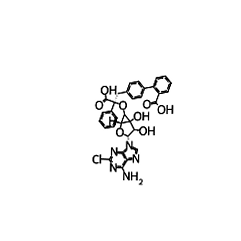 Nc1nc(Cl)nc2c1ncn2[C@@H]1O[C@@H]2C(O[C@](Cc3ccc(-c4ccccc4C(=O)O)cc3)(C(=O)O)c3ccccc3)[C@]2(O)[C@H]1O